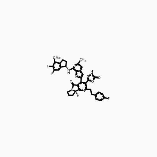 COc1c(F)c(F)cc2c1CC[C@H]2Nc1nc(C)cc2cc(-c3c4c(nc(CCc5ccc(F)cc5)c3-c3n[nH]c(=O)o3)[C@@H]3CCCN3C4=O)sc12